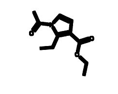 CCOC(=O)c1ccn(C(C)=O)c1CC